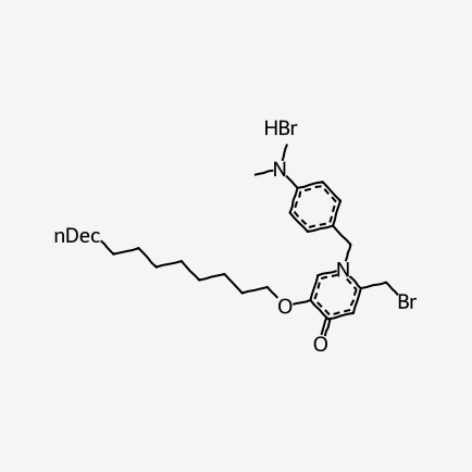 Br.CCCCCCCCCCCCCCCCCCOc1cn(Cc2ccc(N(C)C)cc2)c(CBr)cc1=O